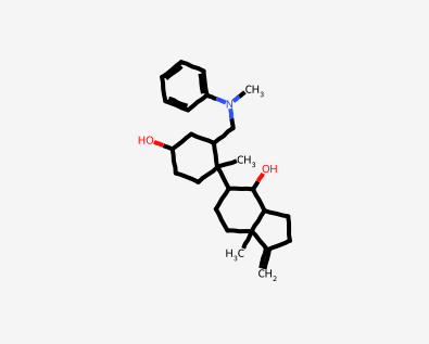 C=C1CCC2C(O)C(C3(C)CCC(O)CC3CN(C)c3ccccc3)CCC12C